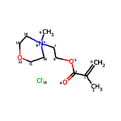 C=C(C)C(=O)OCC[N+]1(C)CCOCC1.[Cl-]